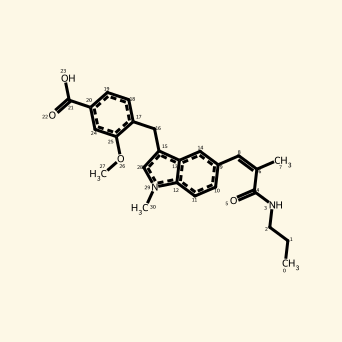 CCCNC(=O)C(C)=Cc1ccc2c(c1)c(Cc1ccc(C(=O)O)cc1OC)cn2C